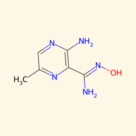 Cc1cnc(N)c(/C(N)=N/O)n1